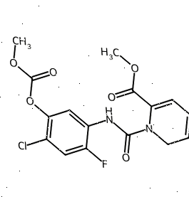 COC(=O)Oc1cc(NC(=O)N2CC=CC=C2C(=O)OC)c(F)cc1Cl